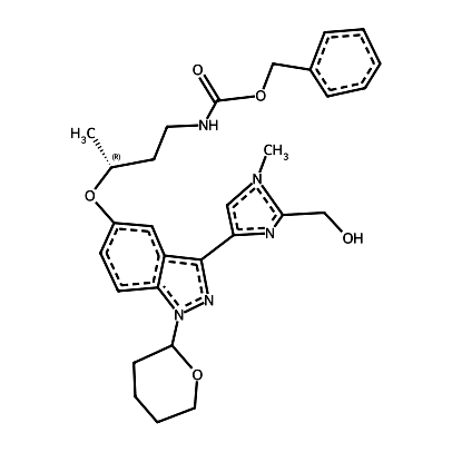 C[C@H](CCNC(=O)OCc1ccccc1)Oc1ccc2c(c1)c(-c1cn(C)c(CO)n1)nn2C1CCCCO1